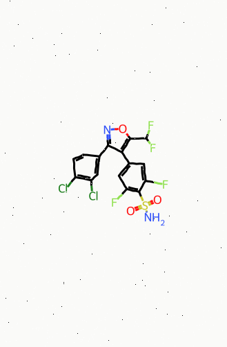 NS(=O)(=O)c1c(F)cc(-c2c(-c3ccc(Cl)c(Cl)c3)noc2C(F)F)cc1F